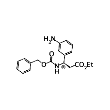 CCOC(=O)C[C@@H](NC(=O)OCc1ccccc1)c1cccc(N)c1